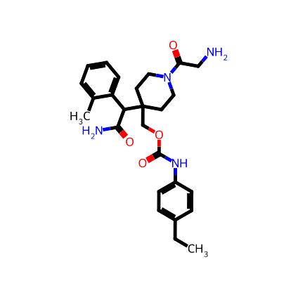 CCc1ccc(NC(=O)OCC2(C(C(N)=O)c3ccccc3C)CCN(C(=O)CN)CC2)cc1